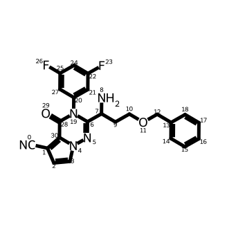 N#Cc1ccn2nc(C(N)CCOCc3ccccc3)n(-c3cc(F)cc(F)c3)c(=O)c12